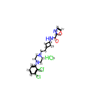 Cl.O=C(NC1CC(CCN2CCN(c3cccc(Cl)c3Cl)CC2)C1)c1ncco1